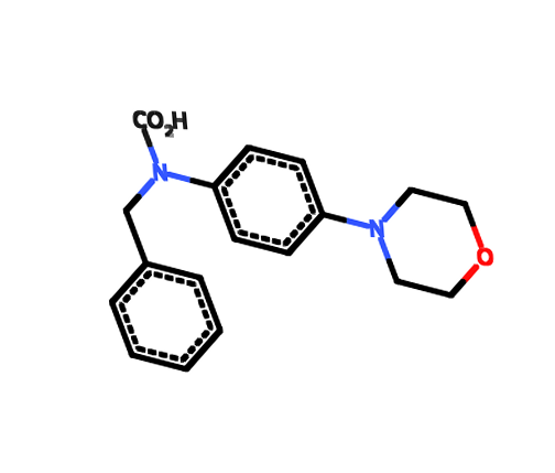 O=C(O)N(Cc1ccccc1)c1ccc(N2CCOCC2)cc1